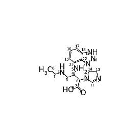 CCNCC(N)C(C(=O)O)N1C=NCC1.c1ccc2[nH]nnc2c1